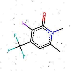 Cc1cc(C(F)(F)F)c(I)c(=O)n1C